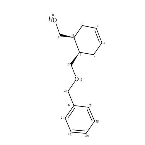 OC[C@H]1CC=CC[C@H]1COCc1ccccc1